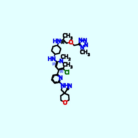 C=N/C(=C\C(=C(/C)Cl)c1cccc(NCC2(C#N)CCOCC2)n1)N[C@H]1CC[C@H](N[C@@H](C)COCc2nnnn2C)CC1